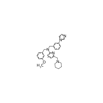 COc1cccc(CN(Cc2cccc(-n3ccnc3)c2)c2nc(CN3CCCCC3)cs2)c1